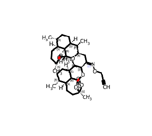 C#CCO/N=C(/C[C@H]1O[C@@H]2O[C@]3(C)CC[C@H]4[C@H](C)CC[C@@H]([C@H]1C)[C@@]24OO3)[C@H]1O[C@@H]2O[C@]3(C)CC[C@H]4[C@H](C)CC[C@@H]([C@H]1C)[C@@]24OO3